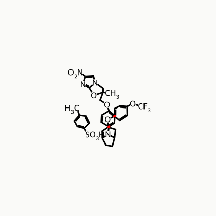 CC1(COc2ccc(N3C4CCC3CC(Oc3ccc(OC(F)(F)F)cc3)C4)cc2)Cn2cc([N+](=O)[O-])nc2O1.Cc1ccc(S(=O)(=O)O)cc1